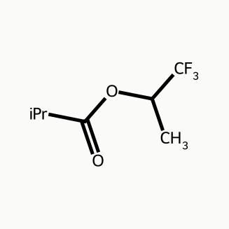 CC(C)C(=O)OC(C)C(F)(F)F